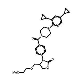 COCCOCC1COC(=O)N1c1ccc(C(=O)N2CCN(c3ncc(C4CC4)cc3C3CC3)CC2)cc1